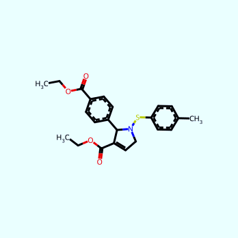 CCOC(=O)C1=CCN(Sc2ccc(C)cc2)C1c1ccc(C(=O)OCC)cc1